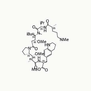 CC[C@H](C)[C@@H]([C@@H](CC(=O)N1CCC[C@H]1[C@H](OC)[C@@H](C)C(=O)N[C@@H](Cc1ccc2c(c1)CCCN2)C(=O)OC)OC)N(C)C(=O)[C@@H](NC(=O)[C@H](C)CCCNC)C(C)C